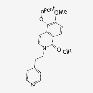 CCCCCOc1c(OC)ccc2c(=O)n(CCc3ccncc3)ccc12.Cl